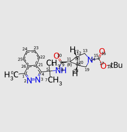 Cc1nnc(C(C)(C)NC(=O)[C@H]2[C@@H]3CN(C(=O)OC(C)(C)C)C[C@@H]32)c2ccccc12